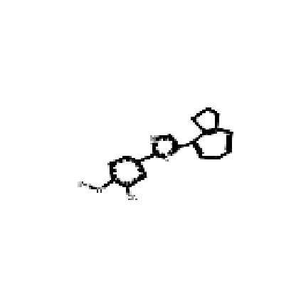 CC(C)Oc1ccc(-c2ncc(C3=CCC=CC4=C3CCC4)s2)cc1C#N